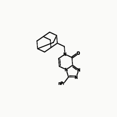 CCCc1nnc2c(=O)n(CC3C4CC5CC(C4)CC3C5)ccn12